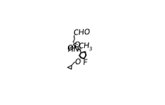 C[C@@H](NS(=O)(=O)CCCC=O)c1ccc(F)c(OCC2CC2)c1